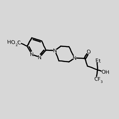 CCC(O)(CC(=O)N1CCN(c2ccc(C(=O)O)nn2)CC1)C(F)(F)F